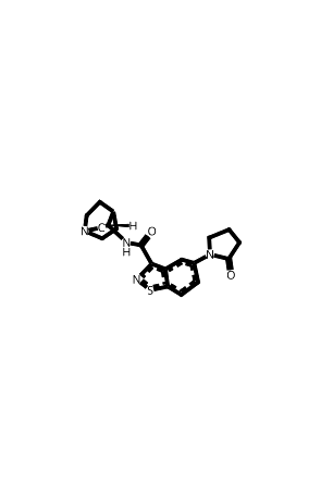 O=C(N[C@@H]1CN2CCC1CC2)c1nsc2ccc(N3CCCC3=O)cc12